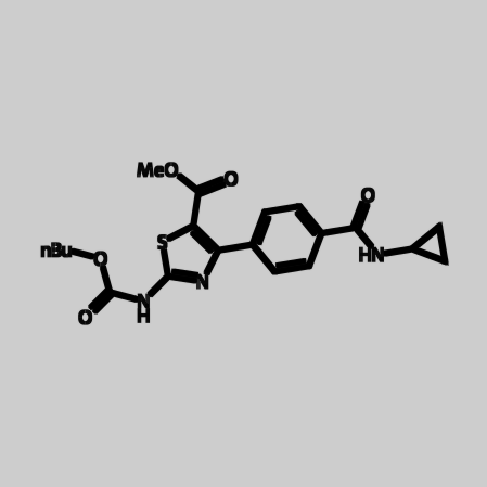 CCCCOC(=O)Nc1nc(-c2ccc(C(=O)NC3CC3)cc2)c(C(=O)OC)s1